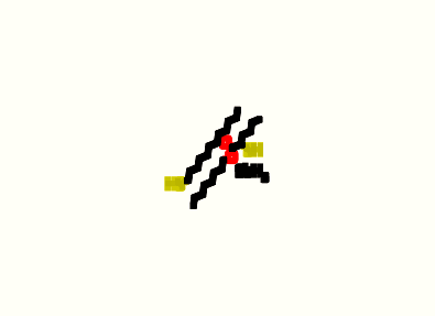 CCCCCCCCCCCCS.CCCCCCCCOC(=O)C(S)CCCC.[SbH3]